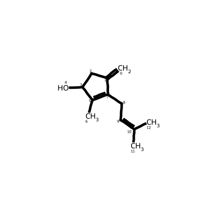 C=C1CC(O)C(C)=C1CC=C(C)C